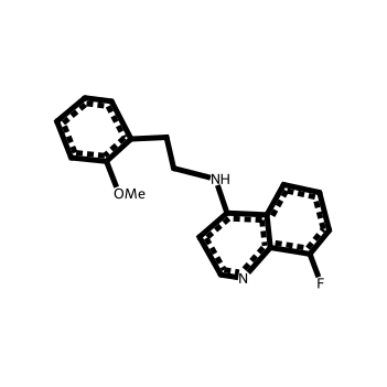 COc1ccccc1CCNc1ccnc2c(F)cccc12